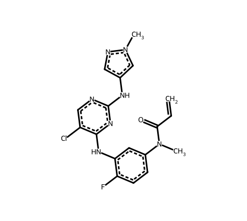 C=CC(=O)N(C)c1ccc(F)c(Nc2nc(Nc3cnn(C)c3)ncc2Cl)c1